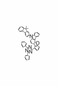 CC1(C)c2ccccc2-c2ccc(-n3c4c(c5ccccc53)C3Oc5cccc(-c6nc(-c7ccccc7)nc(-c7ccccc7)n6)c5C3C=C4)cc21